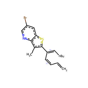 C=C/C=C\C(=C/CCCC)c1sc2cc(Br)cnc2c1C